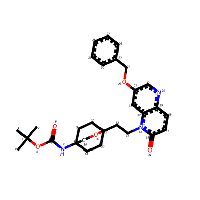 CC(C)(C)OC(=O)NC12CCC(CCn3c(=O)ccc4ncc(OCc5ccccc5)cc43)(CC1)OC2